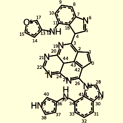 C1=CC2=C(C3C=Nc4cccc(Nc5ccoc5)c43)N=C3N=CN=C4N=C(n5cnc6cccc(Nc7cc[nH]c7)c65)C1=C2C43